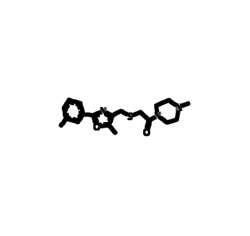 Cc1cccc(-c2nc(CSCC(=O)N3CCN(C)CC3)c(C)o2)c1